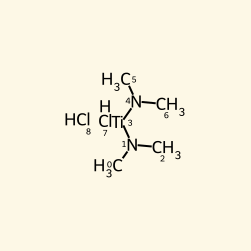 C[N](C)[Ti][N](C)C.Cl.Cl